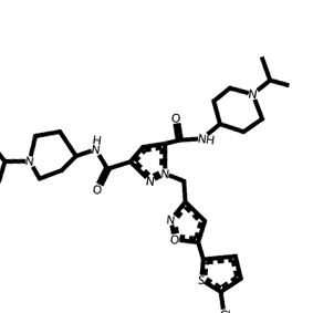 CC(C)N1CCC(NC(=O)c2cc(C(=O)NC3CCN(C(C)C)CC3)n(Cc3cc(-c4ccc(Cl)s4)on3)n2)CC1